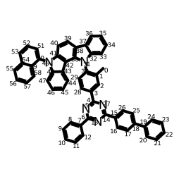 Cc1cc(-c2nc(-c3ccccc3)nc(-c3ccc(-c4ccccc4)cc3)n2)ccc1-n1c2ccccc2c2ccc3c(c4ccccc4n3-c3cccc4ccccc34)c21